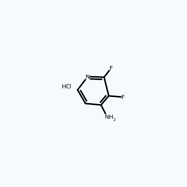 Cl.Nc1ccnc(F)c1F